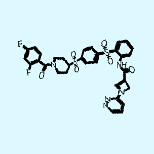 O=C(Nc1ccccc1S(=O)(=O)c1ccc(S(=O)(=O)C2CCN(C(=O)c3ccc(F)cc3F)CC2)cc1)C1CN(c2cccnn2)C1